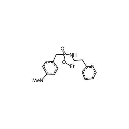 CCOP(=O)(Cc1ccc(NC)cc1)NCCc1ccccn1